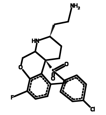 NCC[C@@H]1CC[C@@]2(S(=O)(=O)c3ccc(Cl)cc3)c3c(F)ccc(F)c3OCC2N1